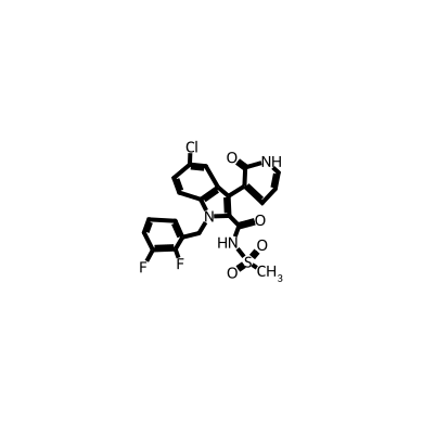 CS(=O)(=O)NC(=O)c1c(-c2ccc[nH]c2=O)c2cc(Cl)ccc2n1Cc1cccc(F)c1F